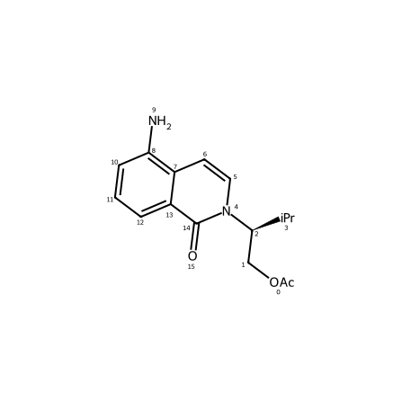 CC(=O)OC[C@H](C(C)C)n1ccc2c(N)cccc2c1=O